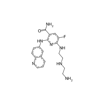 NCCNCCNc1nc(Nc2ccc3ncccc3c2)c(C(N)=O)cc1F